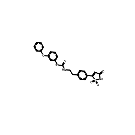 O=C1C=C(c2ccc(CCNC(=O)Nc3cccc(Oc4ccccc4)c3)cc2)S(=O)(=O)N1